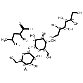 CC(C)CC(N)C(=O)O.OC[C@@H](O)[C@@H](O)[C@H](O)[C@H](O)CO.OC[C@H]1O[C@H](O[C@H]2O[C@H](CO)[C@@H](O)[C@H](O)[C@H]2O)[C@H](O)[C@@H](O)[C@@H]1O